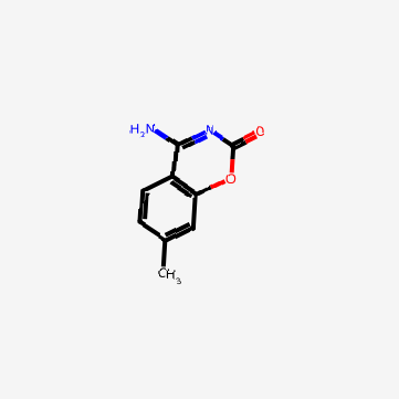 Cc1ccc2c(N)nc(=O)oc2c1